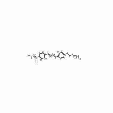 CCCCc1ccc(/C=N/N=C/c2ccc(NC)cc2)cc1